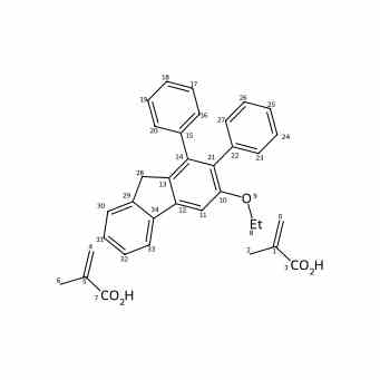 C=C(C)C(=O)O.C=C(C)C(=O)O.CCOc1cc2c(c(-c3ccccc3)c1-c1ccccc1)Cc1ccccc1-2